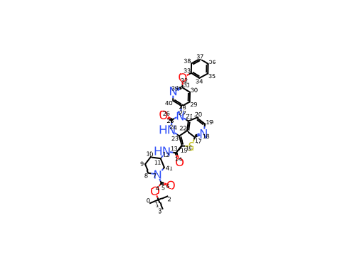 CC(C)(C)OC(=O)N1CCC[C@@H](NC(=O)c2sc3nccc4c3c2NC(=O)N4c2ccc(Oc3ccccc3)nc2)C1